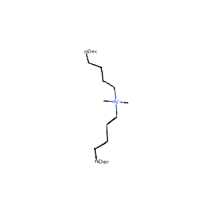 CCCCCCCCCCCCCC[N+](C)(C)CCCCCCCCCCCCCC